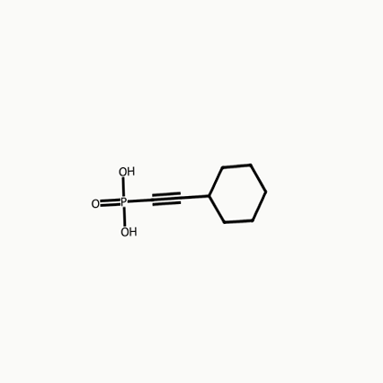 O=P(O)(O)C#CC1CCCCC1